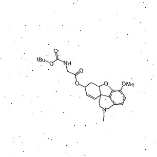 COc1ccc2c3c1OC1CC(OC(=O)CNC(=O)OC(C)(C)C)C=CC31CCN(C)C2